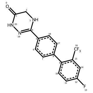 O=C1CNC(c2ccc(-c3ccc(F)cc3C(F)(F)F)cc2)=NN1